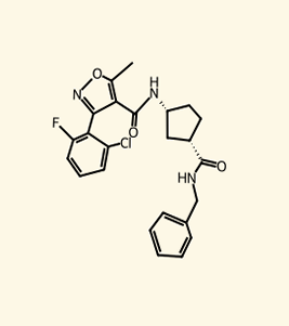 Cc1onc(-c2c(F)cccc2Cl)c1C(=O)N[C@@H]1CC[C@H](C(=O)NCc2ccccc2)C1